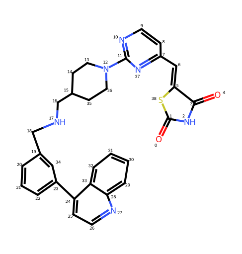 O=C1NC(=O)C(=Cc2ccnc(N3CCC(CNCc4cccc(-c5ccnc6ccccc56)c4)CC3)n2)S1